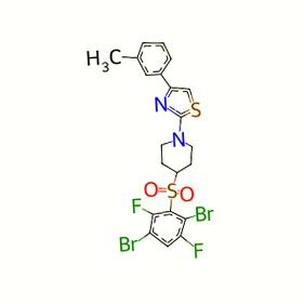 Cc1cccc(-c2csc(N3CCC(S(=O)(=O)c4c(F)c(Br)cc(F)c4Br)CC3)n2)c1